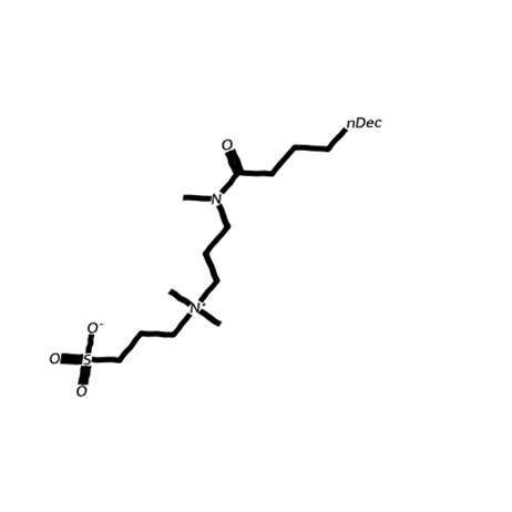 CCCCCCCCCCCCCC(=O)N(C)CCC[N+](C)(C)CCCS(=O)(=O)[O-]